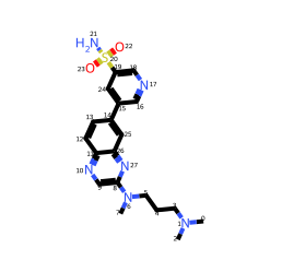 CN(C)CCCN(C)c1cnc2ccc(-c3cncc(S(N)(=O)=O)c3)cc2n1